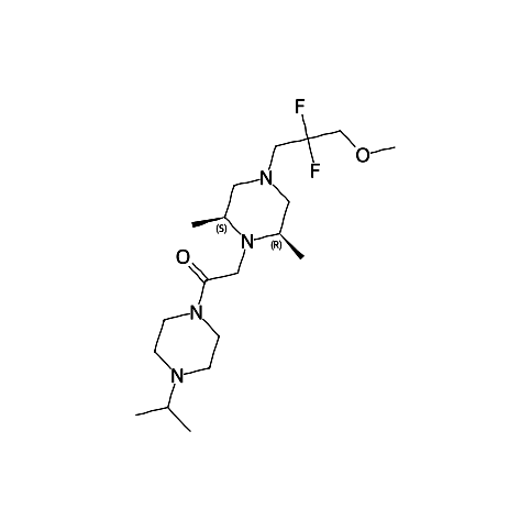 COCC(F)(F)CN1C[C@@H](C)N(CC(=O)N2CCN(C(C)C)CC2)[C@@H](C)C1